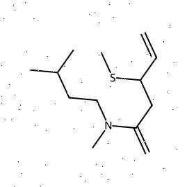 C=CC(CC(=C)N(C)CCC(C)C)SC